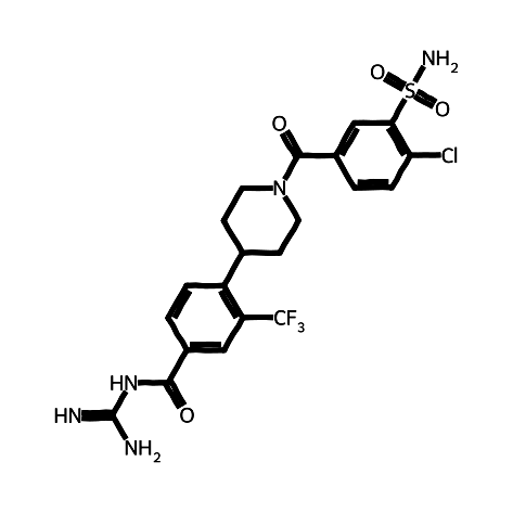 N=C(N)NC(=O)c1ccc(C2CCN(C(=O)c3ccc(Cl)c(S(N)(=O)=O)c3)CC2)c(C(F)(F)F)c1